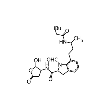 CCC(C)CC(=O)NC(C)CCc1cccc2c1N(C=O)C(C(=O)NC1CC(=O)OC1O)C2